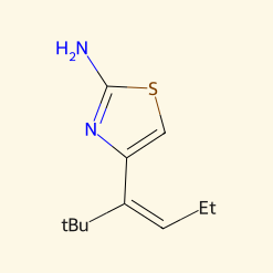 CC/C=C(\c1csc(N)n1)C(C)(C)C